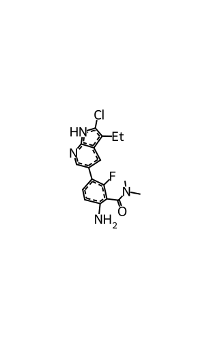 CCc1c(Cl)[nH]c2ncc(-c3ccc(N)c(C(=O)N(C)C)c3F)cc12